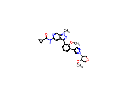 COc1c(-c2cnn([C@@H]3COC[C@@H]3OC)c2)cccc1-c1nn(C)c2cnc(NC(=O)C3CC3)cc12